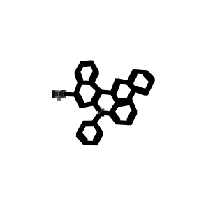 Cc1cc(N(c2ccccc2)c2ccccc2)c(-c2ccc3ccccc3c2)c2ccccc12